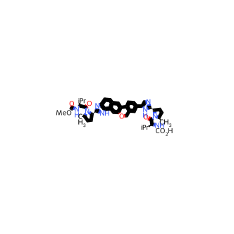 COC(=O)N[C@H](C(=O)N1[C@@H](C)CC[C@H]1c1nc2ccc3cc4c(cc3c2[nH]1)OCc1cc(-c2cnc([C@@H]3CC[C@H](C)N3C(=O)[C@@H](NC(=O)O)C(C)C)[nH]2)ccc1-4)C(C)C